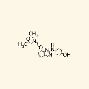 CC1CN(CCOc2cccc3cnc(N[C@H]4CC[C@H](O)CC4)nc23)CC(C)O1